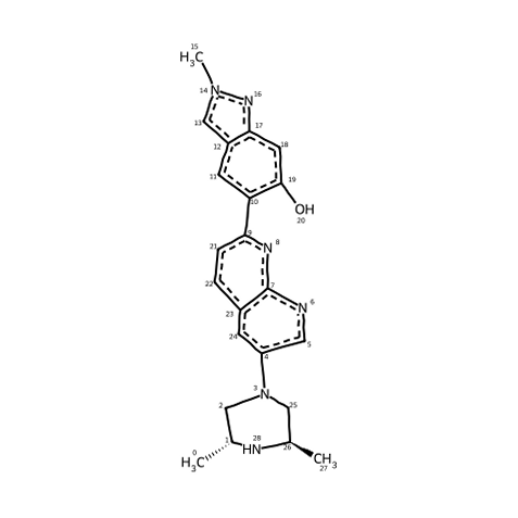 C[C@@H]1CN(c2cnc3nc(-c4cc5cn(C)nc5cc4O)ccc3c2)C[C@@H](C)N1